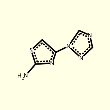 Nc1nc(-n2cncn2)cs1